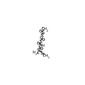 C=CC(=O)OCCOC(=O)CCC(=O)NCC(=O)OC(C)CSCC